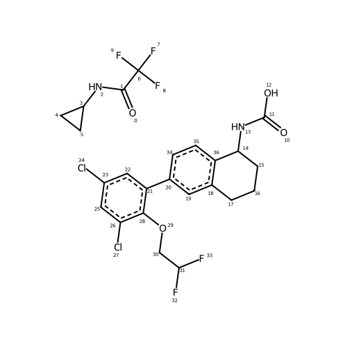 O=C(NC1CC1)C(F)(F)F.O=C(O)NC1CCCc2cc(-c3cc(Cl)cc(Cl)c3OCC(F)F)ccc21